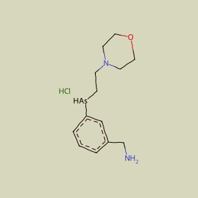 Cl.NCc1cccc([AsH]CCN2CCOCC2)c1